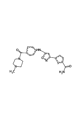 CN1CCN(C(=O)c2ccc(Nc3cc(-c4ccc(C(N)=O)s4)no3)cc2)CC1